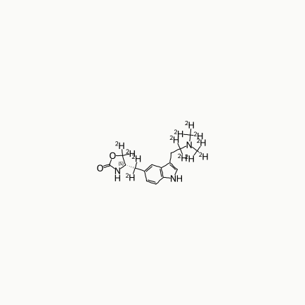 [2H]C1([2H])OC(=O)N[C@H]1C([2H])([2H])c1ccc2[nH]cc(CC([2H])([2H])N(C([2H])([2H])[2H])C([2H])([2H])[2H])c2c1